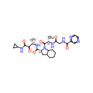 CCC[C@H](NC(=O)[C@@H]1CC2CCCCC2N1C(=O)[C@@H](NC(=O)CNC(=O)c1cnccn1)C(C)(C)C)C(=O)C(=O)NC1CC1